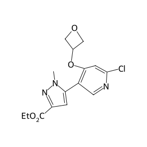 CCOC(=O)c1cc(-c2cnc(Cl)cc2OC2COC2)n(C)n1